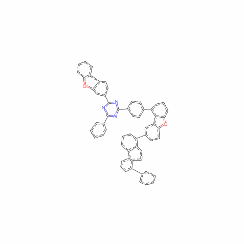 c1ccc(-c2nc(-c3ccc(-c4cccc5oc6ccc(-c7cccc8c7ccc7c(-c9ccccc9)cccc78)cc6c45)cc3)nc(-c3ccc4c(c3)oc3ccccc34)n2)cc1